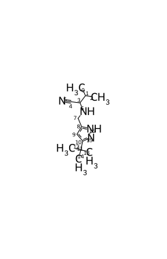 CC(C)C(C#N)NCc1cc(C(C)(C)C)n[nH]1